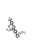 CCOc1ncccc1-c1ccc(C2CCN(c3ccc(C(F)(F)F)cc3C#N)CC2NC)cn1